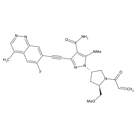 C=CC(=O)N1C[C@@H](n2nc(C#Cc3cc4nncc(C)c4cc3F)c(C(N)=O)c2NC)C[C@@H]1COC